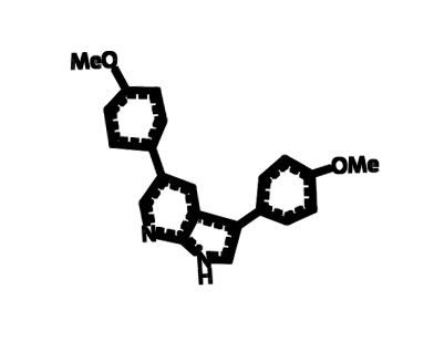 COc1ccc(-c2cnc3[nH]cc(-c4ccc(OC)cc4)c3c2)cc1